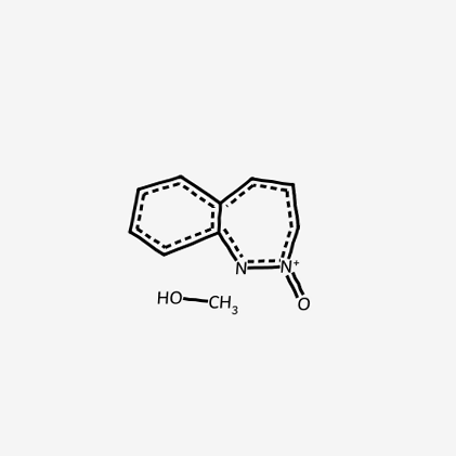 CO.O=[n+]1cccc2ccccc2n1